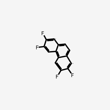 Fc1[c]c2ccc3[c]c(F)c(F)cc3c2cc1F